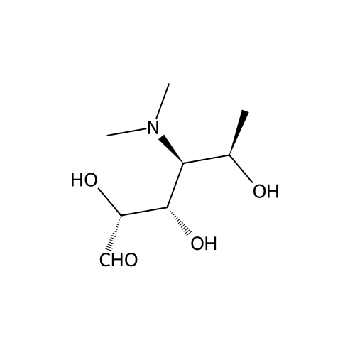 C[C@@H](O)[C@@H]([C@H](O)[C@@H](O)C=O)N(C)C